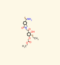 CCOC(=O)COc1ccc(C(=O)CN2Cc3cc(C(N)=S)ccc3C2=O)c(O)c1SCC